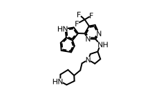 FC(F)(F)c1cnc(NC2CCN(CCC3CCNCC3)C2)nc1-c1c[nH]c2ccccc12